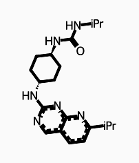 CC(C)NC(=O)N[C@H]1CC[C@H](Nc2ncc3ccc(C(C)C)nc3n2)CC1